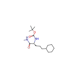 CNC(=O)[C@H](CCCC1CCCCC1)NC(=O)OC(C)(C)C